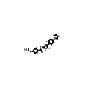 COc1ccc(C(=O)Oc2nc(-c3ccc(-n4ccnc4)cc3)cs2)cc1